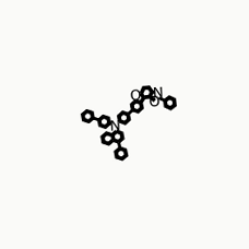 c1ccc(-c2ccc(N(c3ccc(-c4ccc5c(c4)oc4ccc6nc(-c7ccccc7)oc6c45)cc3)c3ccc(-c4ccccc4)c4ccccc34)cc2)cc1